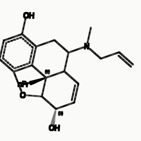 C=CCN(C)C1Cc2c(O)ccc3c2[C@]2(CCC)C1C=C[C@H](O)C2O3